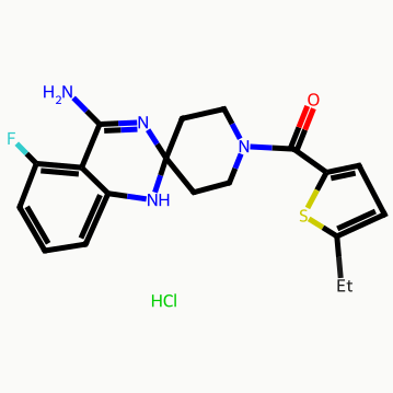 CCc1ccc(C(=O)N2CCC3(CC2)N=C(N)c2c(F)cccc2N3)s1.Cl